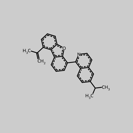 C=C(C)c1cccc2oc3c(-c4nccc5cc(C(C)C)ccc45)cccc3c12